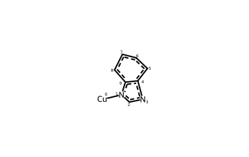 [Cu][n]1cnc2ccccc21